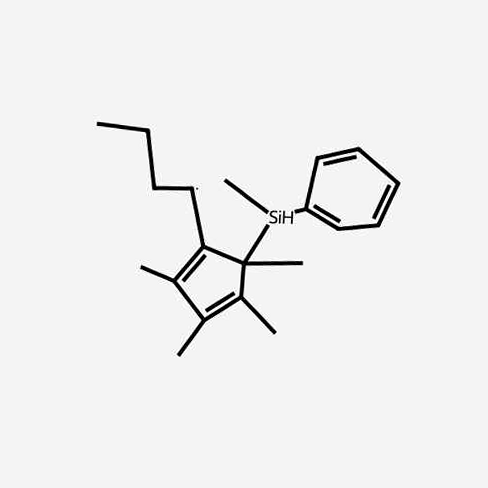 CCC[CH]C1=C(C)C(C)=C(C)C1(C)[SiH](C)c1ccccc1